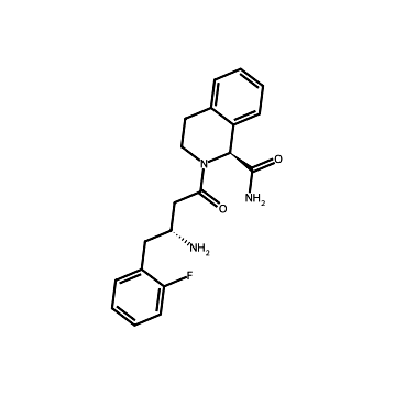 NC(=O)[C@@H]1c2ccccc2CCN1C(=O)C[C@H](N)Cc1ccccc1F